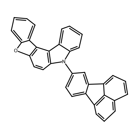 c1cc2c3c(cccc3c1)-c1cc(-n3c4ccccc4c4c5c(ccc43)oc3ccccc35)ccc1-2